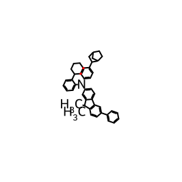 CC1(C)c2ccc(-c3ccccc3)cc2-c2ccc(N(c3ccc(C4CC5CCC4C5)cc3)c3ccccc3C3CCCCC3)cc21